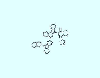 C1=CC2=C(c3ccccc3)N=C(n3c4ccccc4c4c5ccccc5c(-c5ccc6c7ccccc7n(-c7ccc8ccccc8c7)c6c5)cc43)NC2CC1